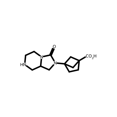 O=C1N2CCNCC2CN1C12CCC(C(=O)O)(C1)C2